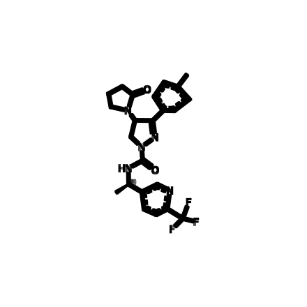 Cc1ccc(C2=NN(C(=O)N[C@H](C)c3ccc(C(F)(F)F)nc3)CC2N2CCCC2=O)cc1